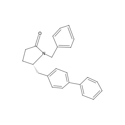 O=C1CC[C@@H](Cc2ccc(-c3ccccc3)cc2)N1Cc1ccccc1